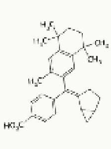 Cc1cc2c(cc1C(=C1CCC3CC13)c1ccc(C(=O)O)cc1)C(C)(C)CCC2(C)C